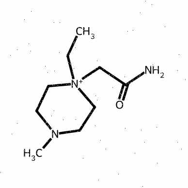 CC[N+]1(CC(N)=O)CCN(C)CC1